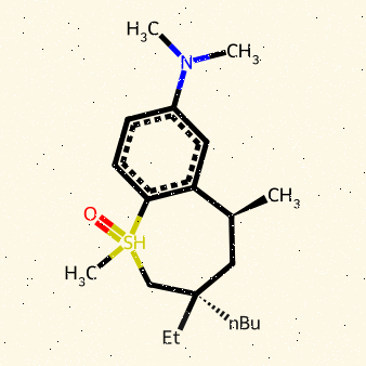 CCCC[C@@]1(CC)C[C@H](C)c2cc(N(C)C)ccc2[SH](C)(=O)C1